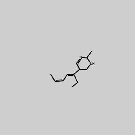 C/C=C\C=C(/CC)C1C=NC(C)NC1